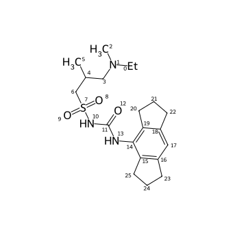 CCN(C)CC(C)CS(=O)(=O)NC(=O)Nc1c2c(cc3c1CCC3)CCC2